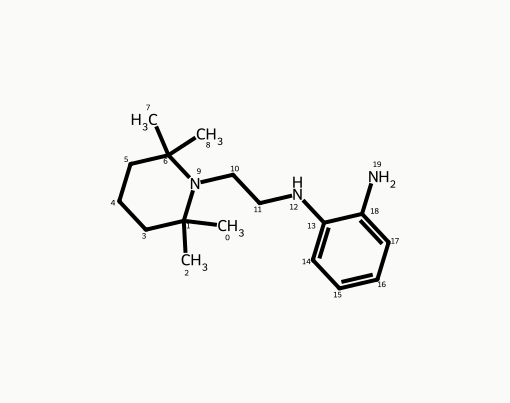 CC1(C)CCCC(C)(C)N1CCNc1ccccc1N